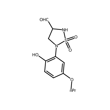 CCCOc1ccc(O)c(N2CC(C=O)NS2(=O)=O)c1